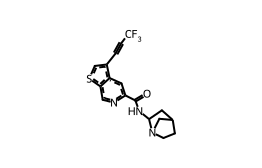 O=C(NC1CC2CCN1C2)c1cc2c(C#CC(F)(F)F)csc2cn1